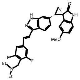 CCN(CC)Cc1c(F)cc(C=Cc2n[nH]c3cc([C@@H]4C[C@@]45C(=O)Nc4ccc(OC)cc45)ccc23)cc1F